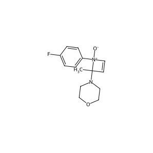 CC1(N2CCOCC2)C=C[N+]1([O-])c1ccc(F)cc1